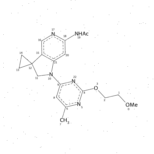 COCCOc1nc(C)cc(N2CC3(CC3)c3cnc(NC(C)=O)cc32)n1